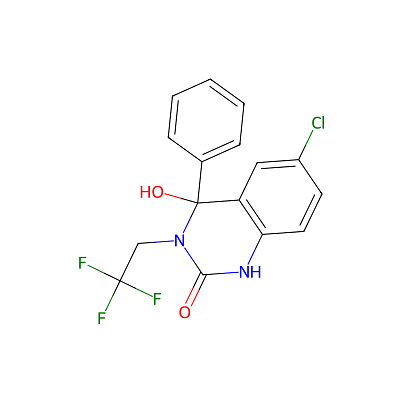 O=C1Nc2ccc(Cl)cc2C(O)(c2ccccc2)N1CC(F)(F)F